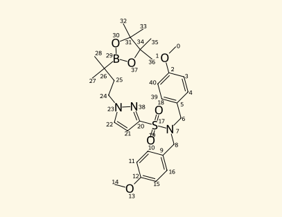 COc1ccc(CN(Cc2ccc(OC)cc2)S(=O)(=O)c2ccn(CCC(C)(C)B3OC(C)(C)C(C)(C)O3)n2)cc1